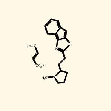 CN1CCCC1CCc1nc2c(s1)=CC1=CC=CCC=21.O=C(O)C=CC(=O)O